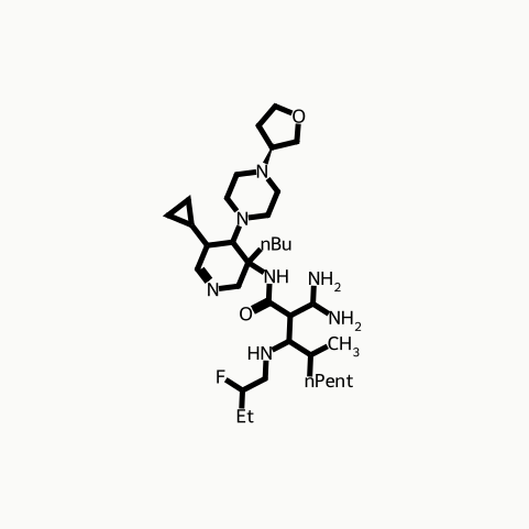 CCCCCC(C)C(NCC(F)CC)C(C(=O)NC1(CCCC)CN=CC(C2CC2)C1N1CCN([C@H]2CCOC2)CC1)C(N)N